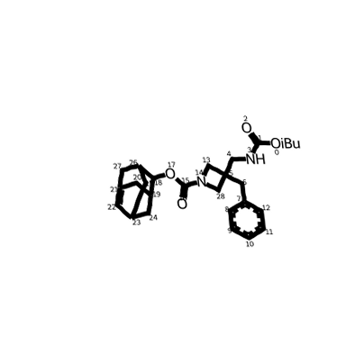 CC(C)COC(=O)NCC1(Cc2ccccc2)CN(C(=O)OC2C3CC4=CC(C3)CC2C4)C1